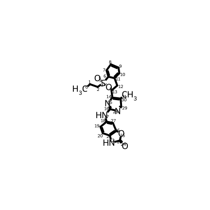 CCCS(=O)(=O)c1ccccc1CCc1nc(Nc2ccc3[nH]c(=O)oc3c2)ncc1C